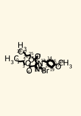 CCCCOC(=O)c1nc(Br)n(Cc2ccc(OC)cc2)c1C(=O)OCCCC